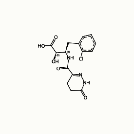 O=C1CCC(C(=O)N[C@H](Cc2ccccc2Cl)[C@@H](O)C(=O)O)=NN1